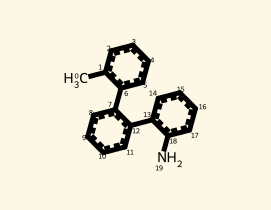 Cc1ccccc1-c1ccccc1-c1ccccc1N